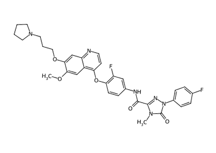 COc1cc2c(Oc3ccc(NC(=O)c4nn(-c5ccc(F)cc5)c(=O)n4C)cc3F)ccnc2cc1OCCCN1CCCC1